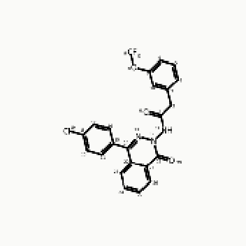 O=C(Cc1cccc(OC(F)(F)F)c1)Nn1nc(-c2ccc(Cl)cc2)c2ccccc2c1=O